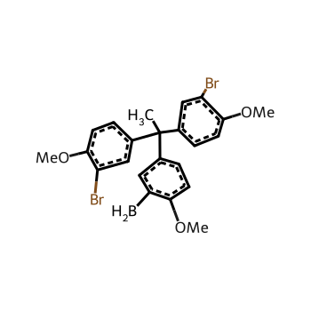 Bc1cc(C(C)(c2ccc(OC)c(Br)c2)c2ccc(OC)c(Br)c2)ccc1OC